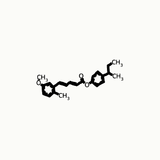 CCC(C)c1ccc(OC(=O)/C=C/C=C/c2cc(OC)ccc2C)cc1